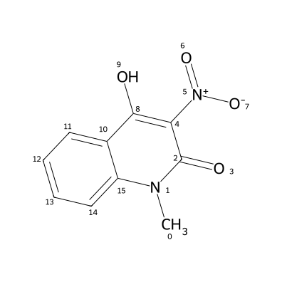 Cn1c(=O)c([N+](=O)[O-])c(O)c2ccccc21